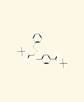 CC(C)(C)OC(=O)c1ccc(C[C@H](NCc2ccccc2)C(=O)OC(C)(C)C)cc1